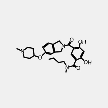 CCCCN(C)C(=O)c1cc(C(=O)N2Cc3ccc(OC4CCN(C)CC4)cc3C2)c(O)cc1O